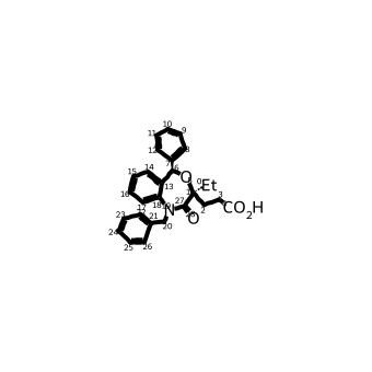 CC[C@@]1(CCC(=O)O)O[C@H](c2ccccc2)c2ccccc2N(Cc2ccccc2)C1=O